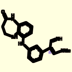 CN/C=C(\C=N)c1cccc(Nc2cccc3c2NCCC(=O)N3)c1